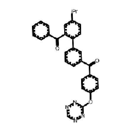 CC(C)c1ccc(-c2cccc(C(=O)c3ccc(Oc4nncnn4)cc3)c2)c(C(=O)c2ccccc2)c1